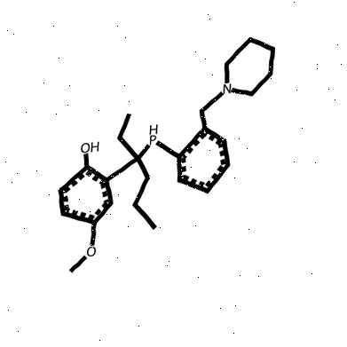 CCCC(CC)(Pc1ccccc1CN1CCCCC1)c1cc(OC)ccc1O